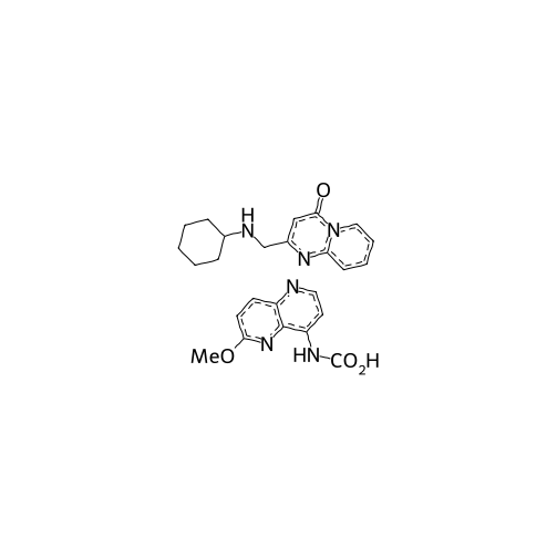 COc1ccc2nccc(NC(=O)O)c2n1.O=c1cc(CNC2CCCCC2)nc2ccccn12